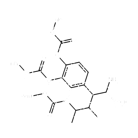 CCCOC(=O)Oc1ccc(C(C(C)C(C)OC(=O)OC(C)CCC)[C@H](N)C(=O)O)cc1OC(=O)OCCC